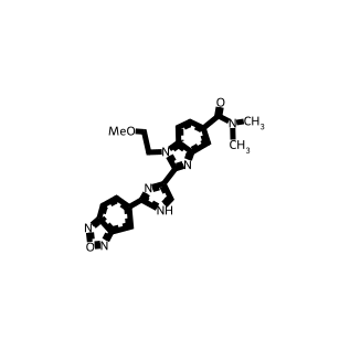 COCCn1c(-c2c[nH]c(-c3ccc4nonc4c3)n2)nc2cc(C(=O)N(C)C)ccc21